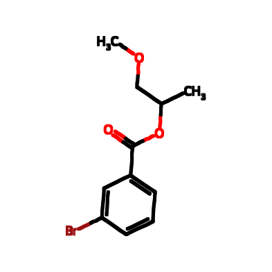 COCC(C)OC(=O)c1cccc(Br)c1